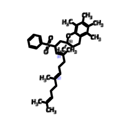 CC(C)=CCC/C(C)=C/CC/C(C)=C/C(C[C@]1(C)CCc2c(C)c(C)c(C)c(C)c2O1)S(=O)(=O)c1ccccc1